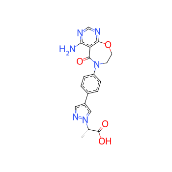 C[C@@H](C(=O)O)n1cc(-c2ccc(N3CCOc4ncnc(N)c4C3=O)cc2)cn1